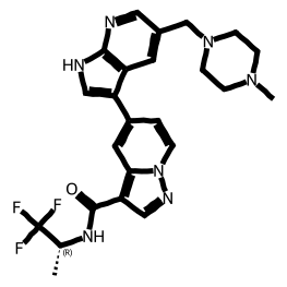 C[C@@H](NC(=O)c1cnn2ccc(-c3c[nH]c4ncc(CN5CCN(C)CC5)cc34)cc12)C(F)(F)F